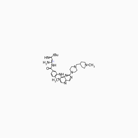 Cc1ccc(C(=O)N/C(N)=C/C(=N)C(C)(C)C)cc1Nc1ncnc2cnc(N3CCN(CC4CCN(C)CC4)CC3)nc12